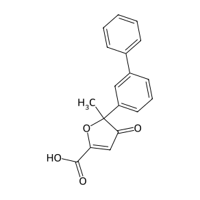 CC1(c2cccc(-c3ccccc3)c2)OC(C(=O)O)=CC1=O